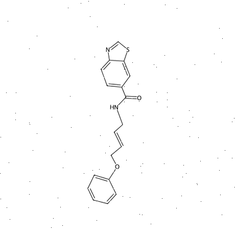 O=C(NCC=CCOc1ccccc1)c1ccc2ncsc2c1